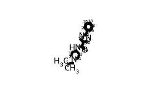 CC(C)CN1CCC(NC(=O)c2cnc(-c3ccccc3)nc2)CC1